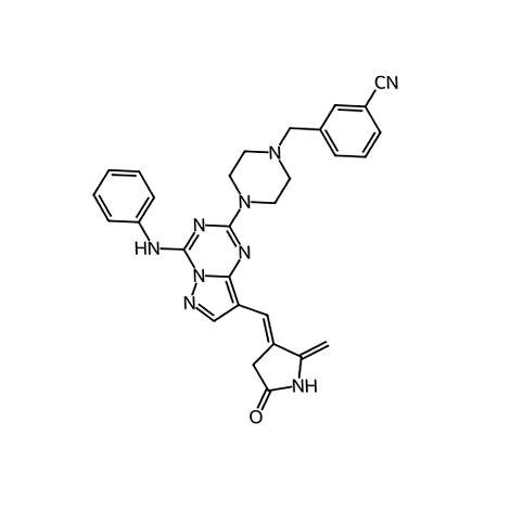 C=C1NC(=O)C/C1=C\c1cnn2c(Nc3ccccc3)nc(N3CCN(Cc4cccc(C#N)c4)CC3)nc12